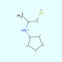 CC(CS)NC1CCCC1